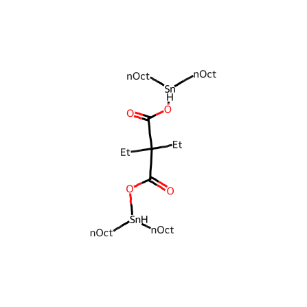 CCCCCCC[CH2][SnH]([CH2]CCCCCCC)[O]C(=O)C(CC)(CC)C(=O)[O][SnH]([CH2]CCCCCCC)[CH2]CCCCCCC